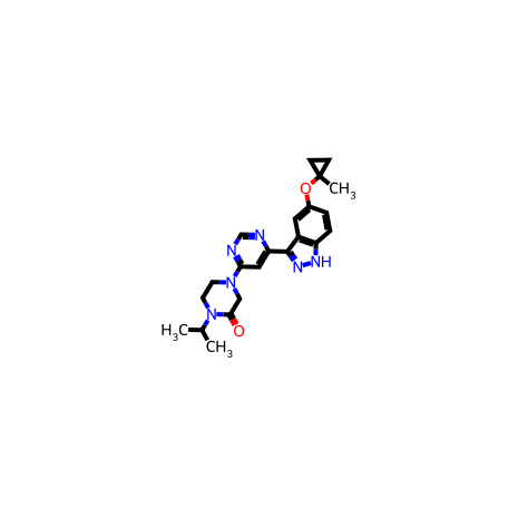 CC(C)N1CCN(c2cc(-c3n[nH]c4ccc(OC5(C)CC5)cc34)ncn2)CC1=O